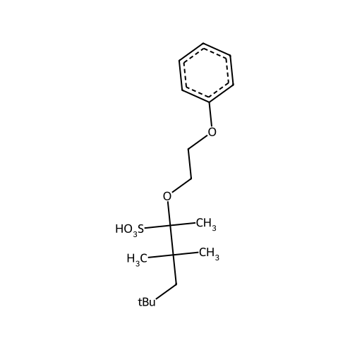 CC(C)(C)CC(C)(C)C(C)(OCCOc1ccccc1)S(=O)(=O)O